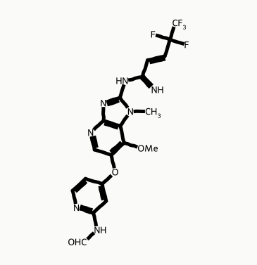 COc1c(Oc2ccnc(NC=O)c2)cnc2nc(NC(=N)/C=C/C(F)(F)C(F)(F)F)n(C)c12